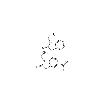 CCN1C(=O)Cc2cc([N+](=O)[O-])ccc21.CCN1C(=O)Cc2ccccc21